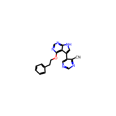 N#Cc1ncncc1-c1c[nH]c2ncnc(OCCc3ccccc3)c12